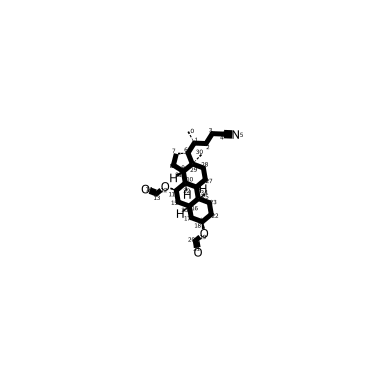 C[C@H](CCC#N)[C@H]1CC[C@H]2[C@@H]3[C@@H](OC=O)C[C@@H]4C[C@H](OC=O)CC[C@]4(C)[C@H]3CC[C@]12C